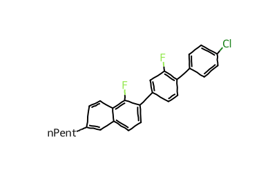 CCCCCc1ccc2c(F)c(-c3ccc(-c4ccc(Cl)cc4)c(F)c3)ccc2c1